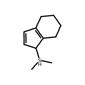 C[SiH](C)C1C=CC2=C1CCCC2